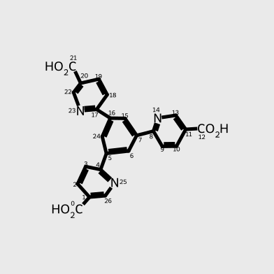 O=C(O)c1ccc(-c2cc(-c3ccc(C(=O)O)cn3)cc(-c3ccc(C(=O)O)cn3)c2)nc1